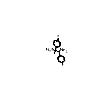 CC(N)(c1ccc(F)cc1)C(N)c1ccc(F)cc1